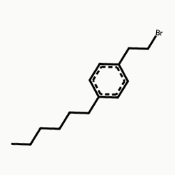 CCCCCCc1ccc(CCBr)cc1